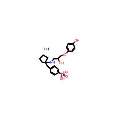 O=P(O)(O)c1ccc(CC2(NCC(O)COc3ccc(O)cc3)CCCC2)cc1.[LiH]